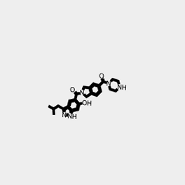 CC(C)Cc1n[nH]c2cc(O)c(C(=O)N3Cc4ccc(C(=O)N5CCNCC5)cc4C3)cc12